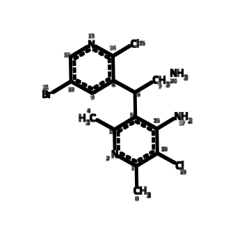 Cc1nc(C)c(C(C)c2cc(Br)cnc2Cl)c(N)c1Cl.N